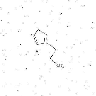 CCCC1=C[CH]C=C1.[Hf]